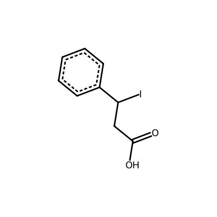 O=C(O)CC(I)c1ccccc1